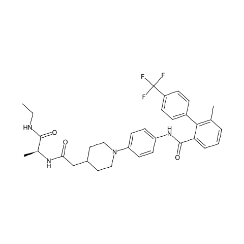 CCNC(=O)[C@H](C)NC(=O)CC1CCN(c2ccc(NC(=O)c3cccc(C)c3-c3ccc(C(F)(F)F)cc3)cc2)CC1